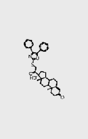 CC12CCC(=O)C=C1CCC1C2CCC2(C)C1CC[C@]2(O)C(=O)CSc1nc(-c2ccccc2)c(-c2ccccc2)o1